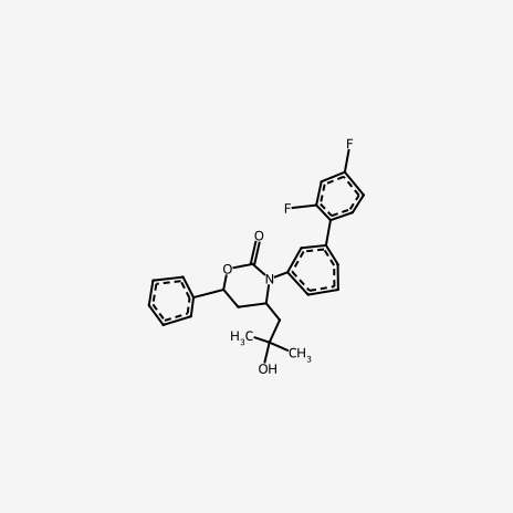 CC(C)(O)CC1CC(c2ccccc2)OC(=O)N1c1cccc(-c2ccc(F)cc2F)c1